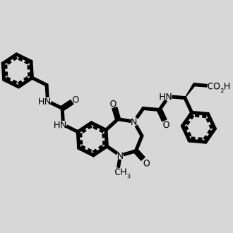 CN1C(=O)CN(CC(=O)N[C@@H](CC(=O)O)c2ccccc2)C(=O)c2cc(NC(=O)NCc3ccccc3)ccc21